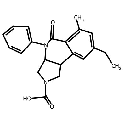 CCc1cc(C)c2c(c1)C1CN(C(=O)O)CC1N(c1ccccc1)C2=O